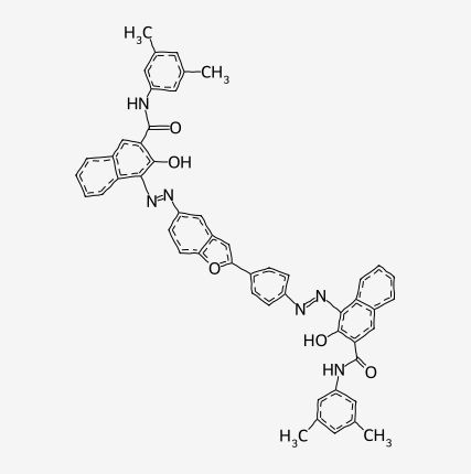 Cc1cc(C)cc(NC(=O)c2cc3ccccc3c(/N=N/c3ccc(-c4cc5cc(/N=N/c6c(O)c(C(=O)Nc7cc(C)cc(C)c7)cc7ccccc67)ccc5o4)cc3)c2O)c1